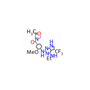 CCNc1nc(Nc2ccc(C(=O)N3CCO[C@@H](C)C3)cc2OC)nc2[nH]cc(C(F)(F)F)c12